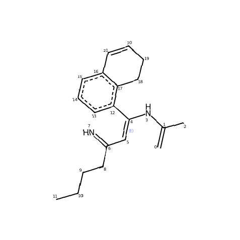 C=C(C)N/C(=C/C(=N)CCCC)c1cccc2c1CCC=C2